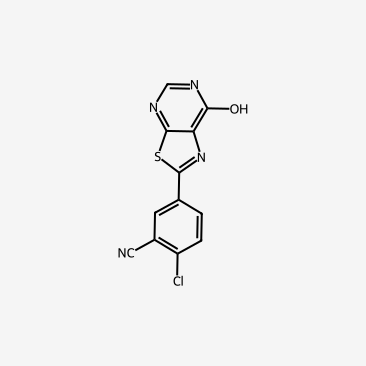 N#Cc1cc(-c2nc3c(O)ncnc3s2)ccc1Cl